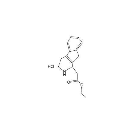 CCOC(=O)CC1NCCC2=C1Cc1ccccc12.Cl